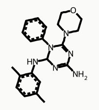 Cc1ccc(C)c(NC2N=C(N)N=C(N3CCOCC3)N2c2ccccc2)c1